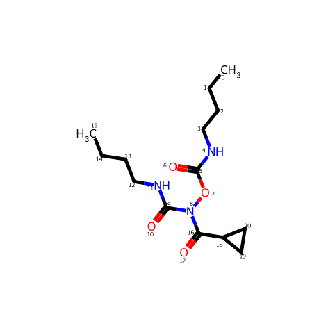 CCCCNC(=O)ON(C(=O)NCCCC)C(=O)C1CC1